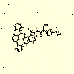 O=CNc1nc(C(=CBr)C(=O)NC2C(=O)N3C(C(=O)OC(c4ccccc4)c4ccccc4)=C(CSc4nncs4)CS[C@@H]23)cs1